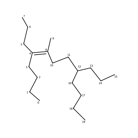 CCCCC(CCC)=C(C)CCC(CCC)CCCC